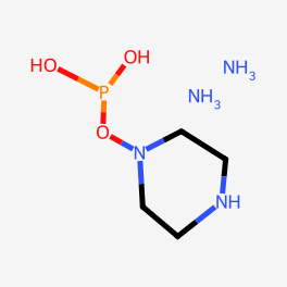 N.N.OP(O)ON1CCNCC1